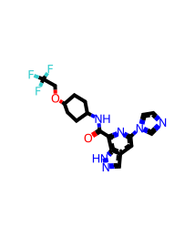 O=C(NC1CCC(OCC(F)(F)F)CC1)c1nc(-n2ccnc2)cc2cn[nH]c12